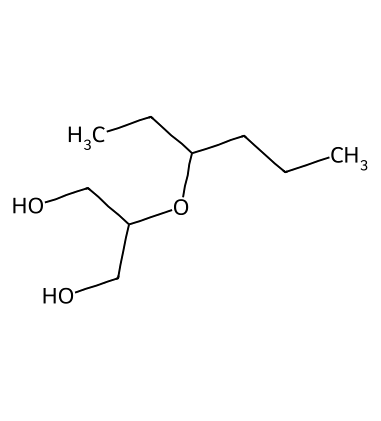 CCCC(CC)OC(CO)CO